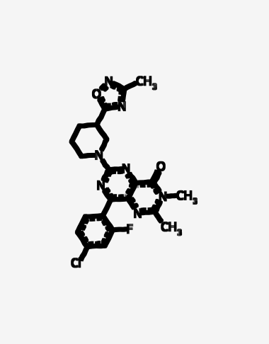 Cc1noc(C2CCCN(c3nc(-c4ccc(Cl)cc4F)c4nc(C)n(C)c(=O)c4n3)C2)n1